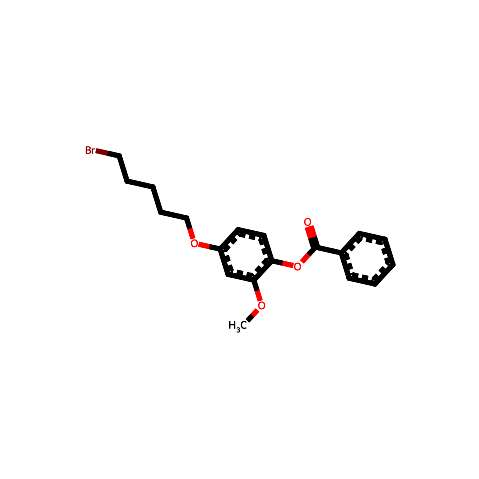 COc1cc(OCCCCCBr)ccc1OC(=O)c1ccccc1